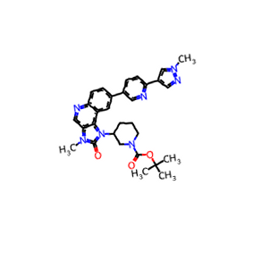 Cn1cc(-c2ccc(-c3ccc4ncc5c(c4c3)n(C3CCCN(C(=O)OC(C)(C)C)C3)c(=O)n5C)cn2)cn1